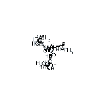 CCS(=N)C(=O)CCCCC(=O)N1C[C@H](C(=O)NCCO[C@@H]2O[C@@H](C)[C@@H](O)[C@@H](O)[C@@H]2O)C[C@H](C(=O)NCCO[C@@H]2O[C@@H](C)[C@@H](O)[C@@H](O)[C@@H]2O)C1